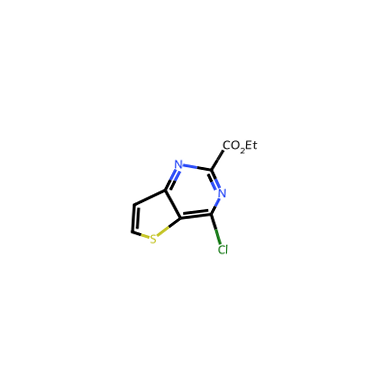 CCOC(=O)c1nc(Cl)c2sccc2n1